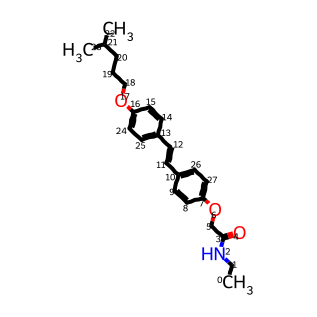 CCNC(=O)COc1ccc(/C=C/c2ccc(OCCCC(C)C)cc2)cc1